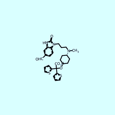 CN(CCCn1c(=O)[nH]c2cc(C=O)ccc21)[C@H]1CC[C@H](OC(C(=O)O)(c2cccs2)c2cccs2)CC1